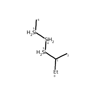 CCC(C)[SiH2][SiH2][SiH2]C